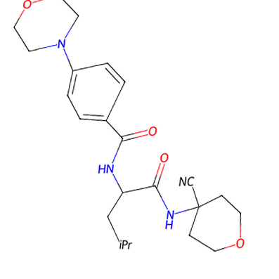 CC(C)CC(NC(=O)c1ccc(N2CCOCC2)cc1)C(=O)NC1(C#N)CCOCC1